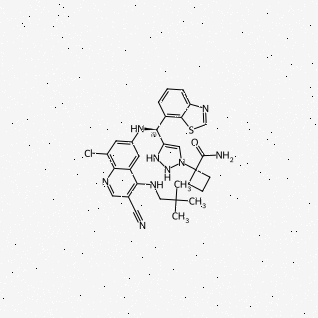 CC(C)(C)CNc1c(C#N)cnc2c(Cl)cc(N[C@H](C3=CN(C4(C(N)=O)CCC4)NN3)c3cccc4ncsc34)cc12